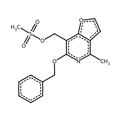 Cc1nc(OCc2ccccc2)c(COS(C)(=O)=O)c2occc12